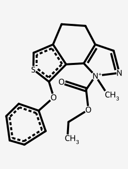 CCOC(=O)[N+]1(C)N=CC2=C1c1c(csc1Oc1ccccc1)CC2